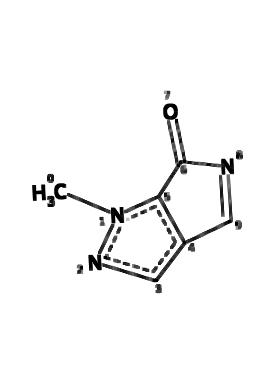 Cn1ncc2c1C(=O)N=C2